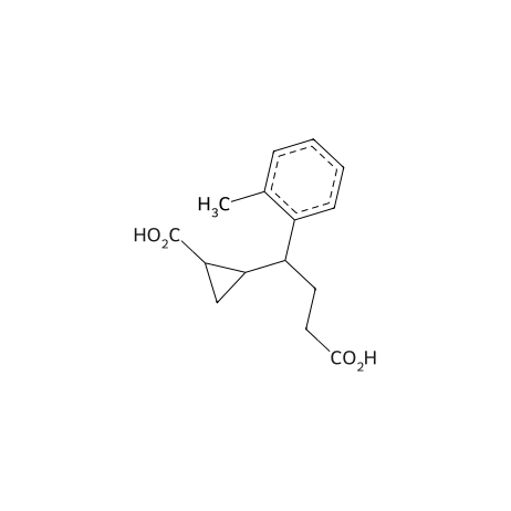 Cc1ccccc1C(CCC(=O)O)C1CC1C(=O)O